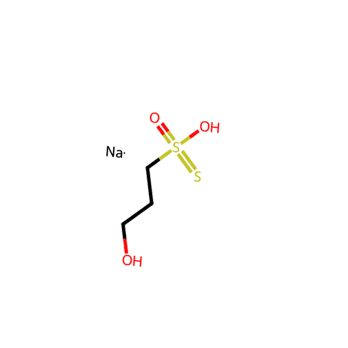 O=S(O)(=S)CCCO.[Na]